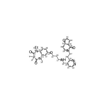 CCN1C(=O)C(C)(C)C(=O)N(C)c2cc(OCCCNCc3ccnnc3CCn3ccc4occc4c3=O)ccc21